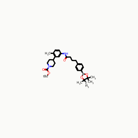 Cc1ccc(NC(=O)CCCc2ccc(B3OC(C)(C)C(C)(C)O3)cc2)cc1C1CCN(C(=O)OC(C)(C)C)CC1